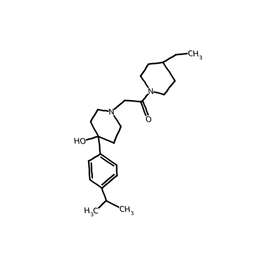 CCC1CCN(C(=O)CN2CCC(O)(c3ccc(C(C)C)cc3)CC2)CC1